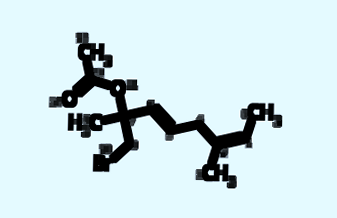 CC=C(C)CC=CC(C)(CBr)OC(C)=O